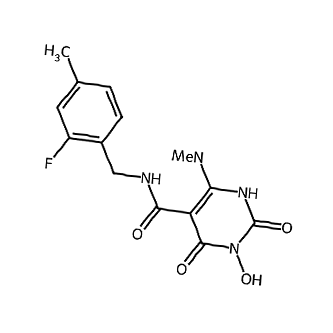 CNc1[nH]c(=O)n(O)c(=O)c1C(=O)NCc1ccc(C)cc1F